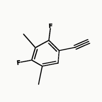 C#Cc1cc(C)c(F)c(C)c1F